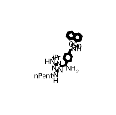 CCCCCNc1nc(NC(C)C)nc(C(N)C2CCC(CNS(=O)(=O)c3cccc4ccccc34)CC2)n1